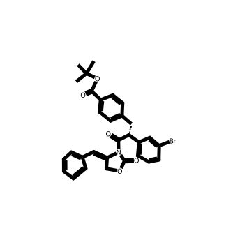 CC(C)(C)OC(=O)c1ccc(C[C@@H](C(=O)N2C(=O)OC/C2=C\c2ccccc2)c2cccc(Br)c2)cc1